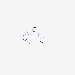 COc1ccc(CNc2ncccc2Cc2c[nH]c3ncc(C#N)cc23)cn1